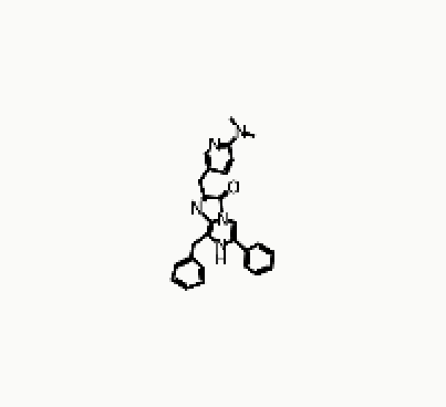 CN(C)c1ccc(Cc2nc3c(Cc4ccccc4)[nH]c(-c4ccccc4)cn-3c2=O)cn1